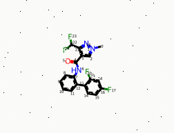 Cn1cc(C(=O)Nc2ccccc2-c2ccc(F)cc2F)c(C(F)F)n1